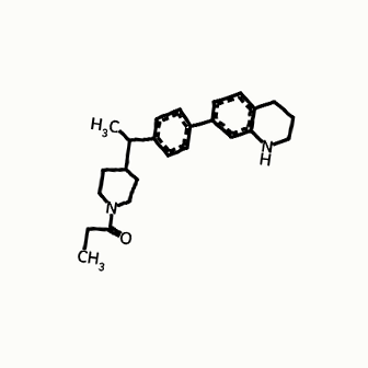 CCC(=O)N1CCC(C(C)c2ccc(-c3ccc4c(c3)NCCC4)cc2)CC1